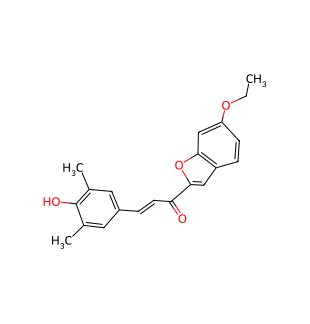 CCOc1ccc2cc(C(=O)/C=C/c3cc(C)c(O)c(C)c3)oc2c1